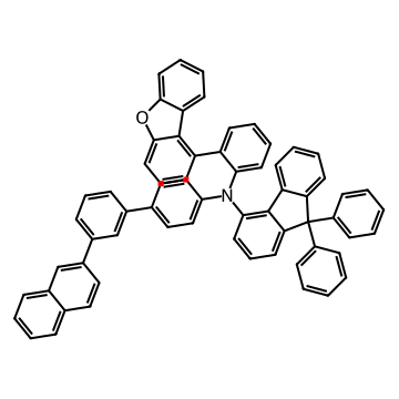 c1ccc(C2(c3ccccc3)c3ccccc3-c3c(N(c4ccc(-c5cccc(-c6ccc7ccccc7c6)c5)cc4)c4ccccc4-c4cccc5oc6ccccc6c45)cccc32)cc1